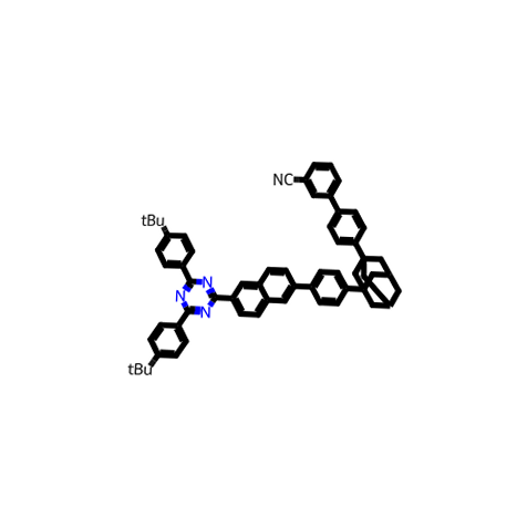 CC(C)(C)c1ccc(-c2nc(-c3ccc(C(C)(C)C)cc3)nc(-c3ccc4cc(-c5ccc(C67CC8CC(CC(c9ccc(-c%10cccc(C#N)c%10)cc9)(C8)C6)C7)cc5)ccc4c3)n2)cc1